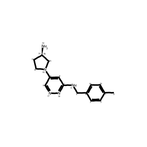 Cc1ccc(CNc2cc(N3CC[C@@H](N)C3)cnn2)cc1